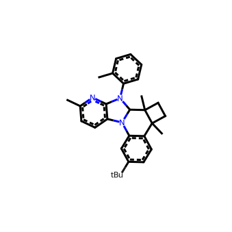 Cc1ccc2c(n1)N(c1ccccc1C)C1N2c2cc(C(C)(C)C)ccc2C2(C)CCC12C